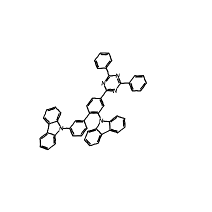 c1ccc(-c2nc(-c3ccccc3)nc(-c3ccc(-c4cccc(-n5c6ccccc6c6ccccc65)c4)c(-n4c5ccccc5c5ccccc54)c3)n2)cc1